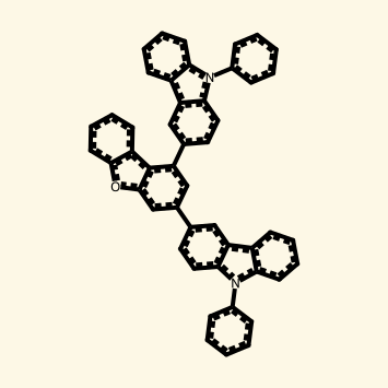 c1ccc(-n2c3ccccc3c3cc(-c4cc(-c5ccc6c(c5)c5ccccc5n6-c5ccccc5)c5c(c4)oc4ccccc45)ccc32)cc1